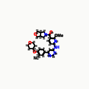 COc1nc(Nc2cc(-c3ccc(OC4CCOCC4)c(C#N)c3)ncn2)ccc1C(=O)N1CC2COCC2C1